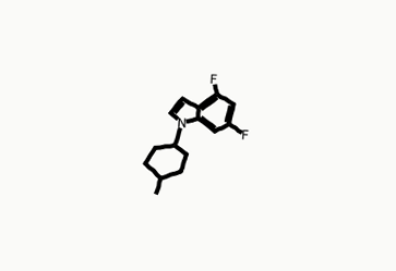 CC1CCC(n2ccc3c(F)cc(F)cc32)CC1